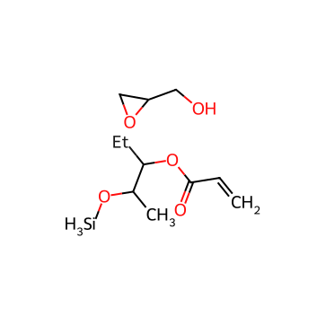 C=CC(=O)OC(CC)C(C)O[SiH3].OCC1CO1